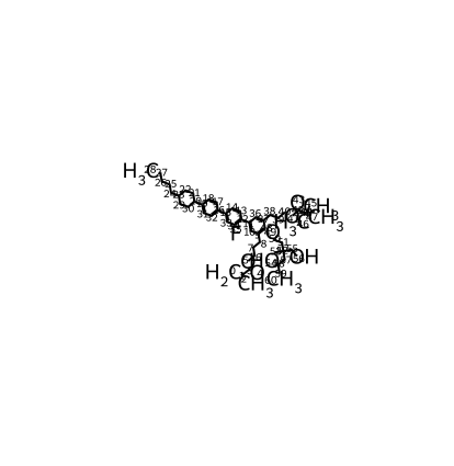 C=C(C)C(=O)OCCCc1cc(-c2ccc(-c3ccc(C4CCC(CCCCC)CC4)cc3)cc2F)cc(CCCOC(=O)C(C)(C)C)c1OCCC(CO)(CO)CCCC